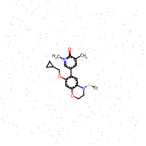 CCSN1CCOc2cc(OCC3CC3)c(-c3cc(C)c(=O)n(C)c3)cc21